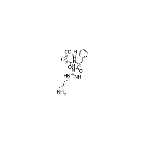 N=C(NCCCCN)NC(=O)[C@H](Cc1ccccc1)NC(=O)[C@H]1O[C@@H]1C(=O)O